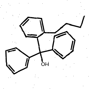 CCCCc1ccccc1C(O)(c1ccccc1)c1ccccc1